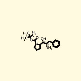 CC(C)(C)OC(=O)N1CCCC1[C@H](O)[C@@H](N)Cc1ccccc1